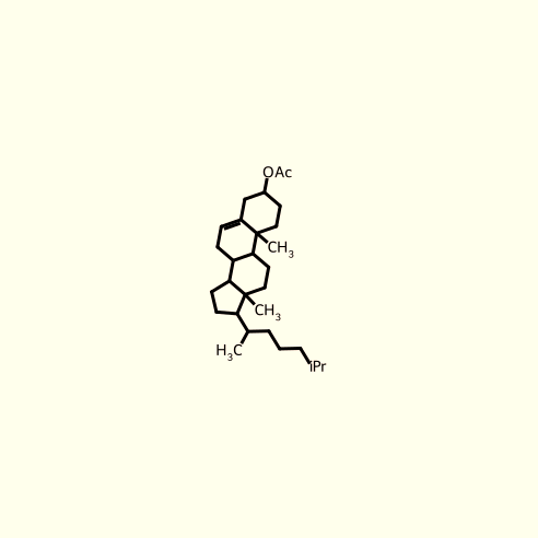 CC(=O)OC1CCC2(C)C(=CCC3C2CCC2(C)C(C(C)CCCC(C)C)CCC32)C1